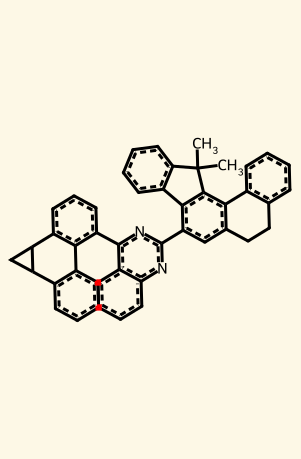 CC1(C)c2ccccc2-c2c(-c3nc(-c4cccc5c4-c4ccccc4C4CC54)c4ccccc4n3)cc3c(c21)-c1ccccc1CC3